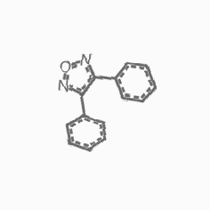 c1ccc(-c2nonc2-c2ccccc2)cc1